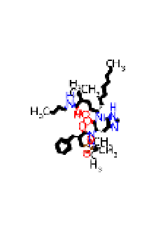 CCCCCCCC[C@H](NC(=O)[C@H](Cc1c[nH]cn1)NC(=O)[C@H](Cc1ccccc1)CS(=O)(=O)C(C)(C)C)[C@@H](O)CC(C(=O)NCCCC)C(C)C